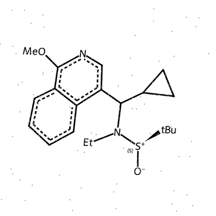 CCN(C(c1cnc(OC)c2ccccc12)C1CC1)[S@+]([O-])C(C)(C)C